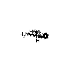 NCCCCC(NOCc1ccccc1)C(=O)O